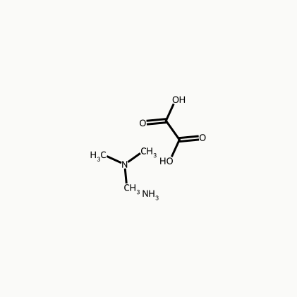 CN(C)C.N.O=C(O)C(=O)O